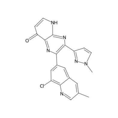 Cc1cnc2c(Cl)cc(-c3nc4c(=O)cc[nH]c4nc3-c3ccn(C)n3)cc2c1